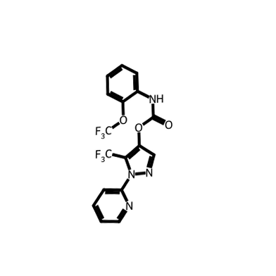 O=C(Nc1ccccc1OC(F)(F)F)Oc1cnn(-c2ccccn2)c1C(F)(F)F